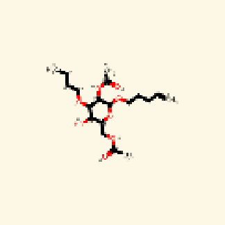 C=CCCCOC1OC(COC(C)=O)C(O)C(OCCCC)C1OC(C)=O